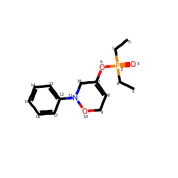 CCP(=O)(CC)OC1=CCON(c2ccccc2)C1